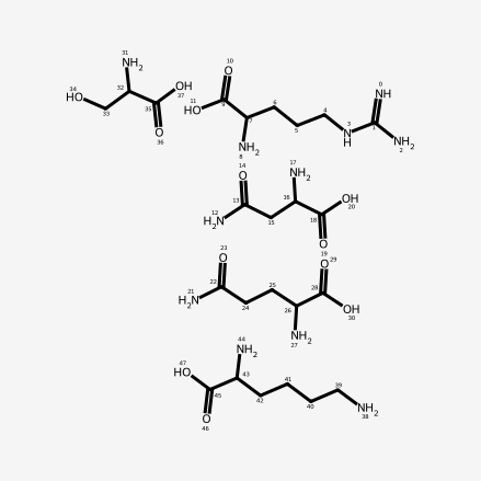 N=C(N)NCCCC(N)C(=O)O.NC(=O)CC(N)C(=O)O.NC(=O)CCC(N)C(=O)O.NC(CO)C(=O)O.NCCCCC(N)C(=O)O